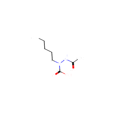 CCCCCN(NC(C)=O)C(=O)O